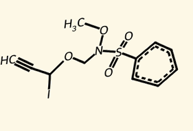 C#CC(I)OCN(OC)S(=O)(=O)c1ccccc1